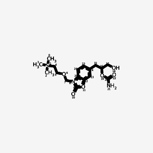 C[Si](C)(C)CCOCn1c(=O)oc2cc(CC(CO)OC(N)=O)ccc21